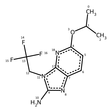 CC(C)Oc1ccc2nc(N)n(CC(F)(F)F)c2n1